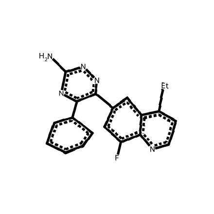 CCc1ccnc2c(F)cc(-c3nnc(N)nc3-c3ccccc3)cc12